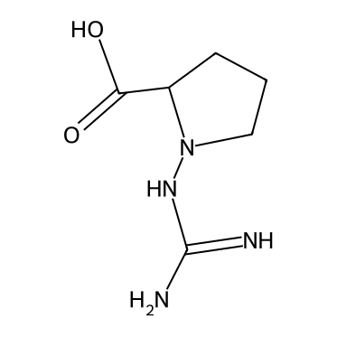 N=C(N)NN1CCCC1C(=O)O